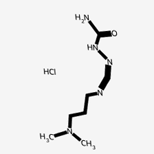 CN(C)CCCN=C=NNC(N)=O.Cl